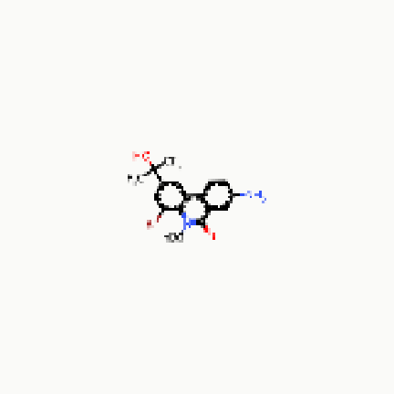 CCCCn1c(=O)c2cc(N)ccc2c2cc(C(O)(C(F)(F)F)C(F)(F)F)cc(Br)c21